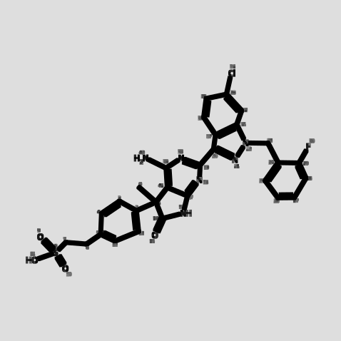 CC1(c2ccc(CCS(=O)(=O)O)cc2)C(=O)Nc2nc(-c3nn(Cc4ccccc4F)c4cc(Cl)ccc34)nc(N)c21